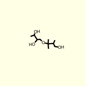 CC(O)C(O)COC(C)(C)C(C)CO